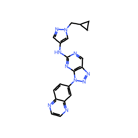 [CH]1CC1Cn1cc(Nc2ncc3nnn(-c4ccc5nccnc5c4)c3n2)cn1